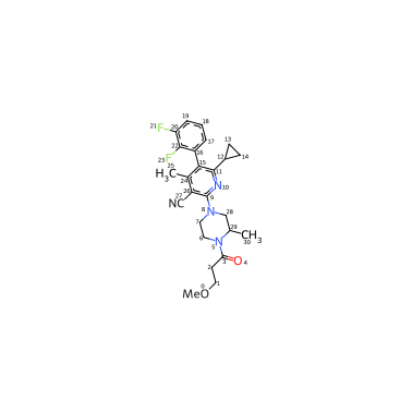 COCCC(=O)N1CCN(c2nc(C3CC3)c(-c3cccc(F)c3F)c(C)c2C#N)CC1C